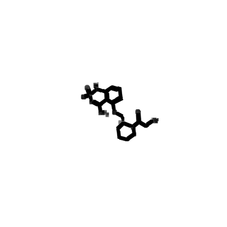 CC(C)CC(=O)N1CCCC[C@@H]1COc1cccc2c1C(N)=NS(=O)(=O)N2